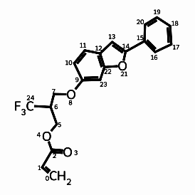 C=CC(=O)OCC(COc1ccc2cc(-c3ccccc3)oc2c1)C(F)(F)F